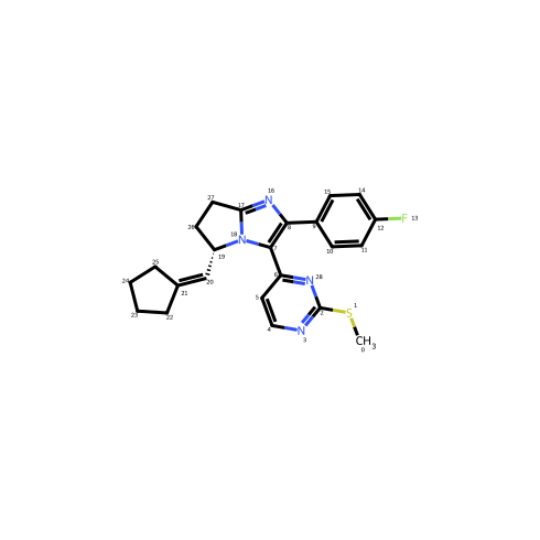 CSc1nccc(-c2c(-c3ccc(F)cc3)nc3n2[C@H](C=C2CCCC2)CC3)n1